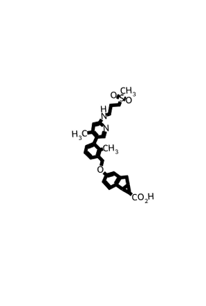 Cc1cc(NCCCS(C)(=O)=O)ncc1-c1cccc(COc2ccc3c(c2)CC2C(C(=O)O)C32)c1C